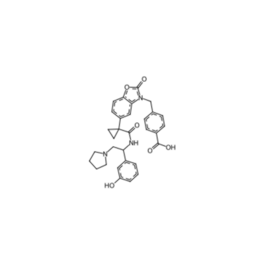 O=C(O)c1ccc(Cn2c(=O)oc3ccc(C4(C(=O)NC(CN5CCCC5)c5cccc(O)c5)CC4)cc32)cc1